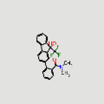 CN(C)C(=O)c1ccccc1-c1ccc2c(c1)C(O)(C(F)(F)F)c1ccccc1-2